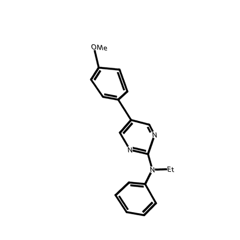 CCN(c1ccccc1)c1ncc(-c2ccc(OC)cc2)cn1